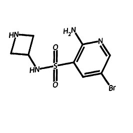 Nc1ncc(Br)cc1S(=O)(=O)NC1CNC1